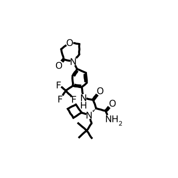 CC(C)(C)CN(C1CCC1)[C@@H](C(N)=O)C(=O)Nc1ccc(N2CCOCC2=O)cc1C(F)(F)F